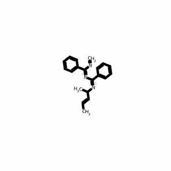 C=N/C(=N\C(=N/C(C)C=CC)c1ccccc1)c1ccccc1